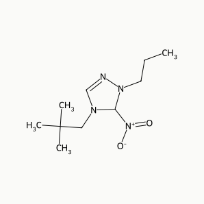 CCCN1N=CN(CC(C)(C)C)C1[N+](=O)[O-]